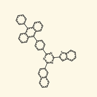 c1ccc(-c2c3ccccc3c(-c3ccc(-c4nc(-c5ccc6ccccc6c5)nc(-c5cc6ccccc6s5)n4)cc3)c3ccccc23)cc1